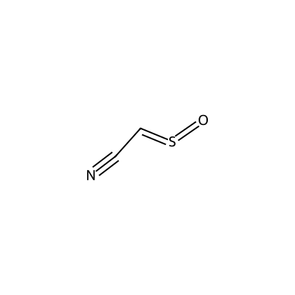 N#CC=S=O